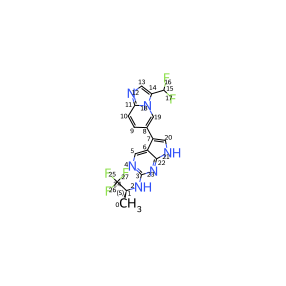 C[C@H](Nc1ncc2c(-c3ccc4ncc(C(F)F)n4c3)c[nH]c2n1)C(F)(F)F